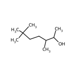 CC(O)C(C)CCC(C)(C)C